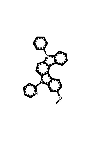 COc1ccc2c3c4c5ccccc5n(-c5ccccc5)c4ccc3n(-c3ccccn3)c2c1